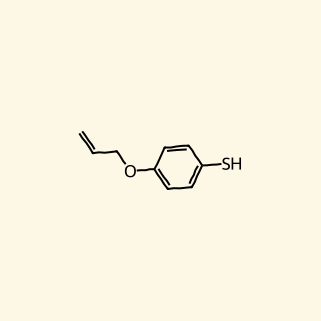 C=CCOc1ccc(S)cc1